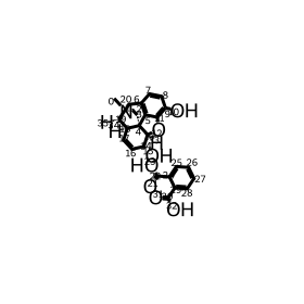 CN1CC[C@]23c4c5ccc(O)c4O[C@H]2[C@@H](O)C=C[C@H]3[C@H]1C5.O=C(O)c1ccccc1C(=O)O